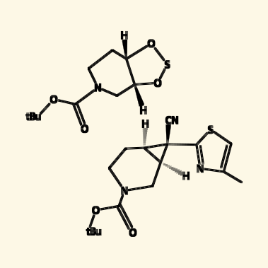 CC(C)(C)OC(=O)N1CC[C@@H]2OSO[C@@H]2C1.Cc1csc([C@@]2(C#N)[C@@H]3CCN(C(=O)OC(C)(C)C)C[C@@H]32)n1